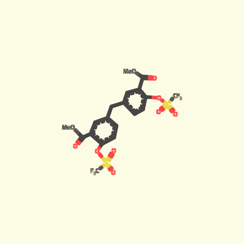 COC(=O)c1cc(Cc2ccc(OS(=O)(=O)C(F)(F)F)c(C(=O)OC)c2)ccc1OS(=O)(=O)C(F)(F)F